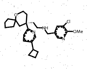 COc1ncc(CNCC[C@@]2(c3ccc(C4CCC4)cn3)CCOC3(CCCC3)C2)cc1Cl